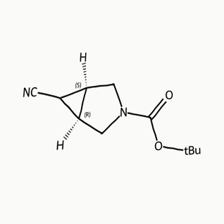 CC(C)(C)OC(=O)N1C[C@@H]2C(C#N)[C@@H]2C1